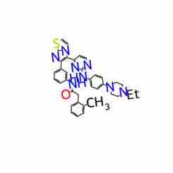 CCN1CCN(c2ccc(Nc3nccc(-c4c(-c5cccc(NC(=O)Cc6ccccc6C)c5)nc5sccn45)n3)cc2)CC1